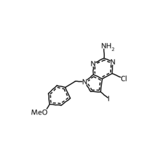 COc1ccc(Cn2cc(I)c3c(Cl)nc(N)nc32)cc1